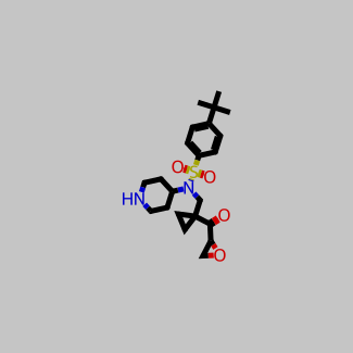 CC(C)(C)c1ccc(S(=O)(=O)N(CC2(C(=O)C3CO3)CC2)C2CCNCC2)cc1